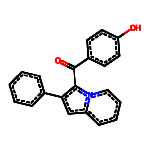 O=C(c1ccc(O)cc1)c1c(-c2ccccc2)cc2ccccn12